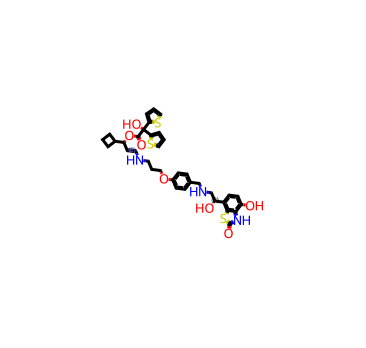 O=C(OC(/C=C/NCCCOc1ccc(CNC[C@H](O)c2ccc(O)c3[nH]c(=O)sc23)cc1)C1CCC1)C(O)(c1cccs1)c1cccs1